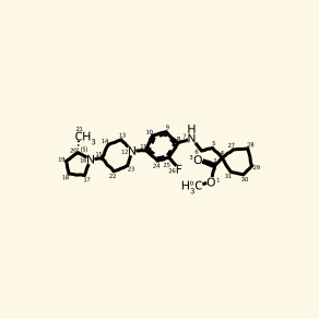 COC(=O)C1(CCNc2ccc(N3CCC(N4CCC[C@@H]4C)CC3)cc2F)CCCCC1